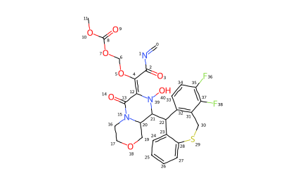 C=NC(=O)/C(OCOC(=O)OC)=C1/C(=O)N2CCOCC2C(C2c3ccccc3SCc3c2ccc(F)c3F)N1O